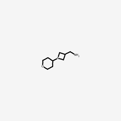 NCC1CN(C2CCOCC2)C1